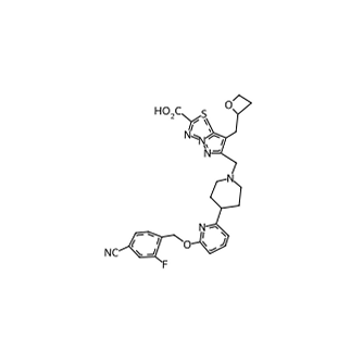 N#Cc1ccc(COc2cccc(C3CCN(Cc4nn5nc(C(=O)O)sc5c4CC4CCO4)CC3)n2)c(F)c1